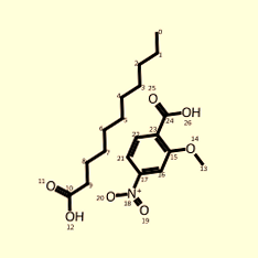 CCCCCCCCCCC(=O)O.COc1cc([N+](=O)[O-])ccc1C(=O)O